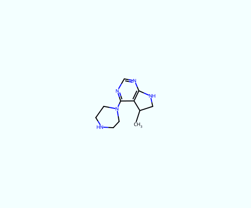 CC1CNc2ncnc(N3CCNCC3)c21